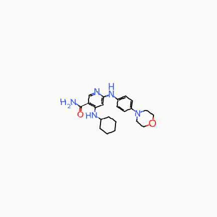 NC(=O)c1cnc(Nc2ccc(N3CCOCC3)cc2)cc1NC1CCCCC1